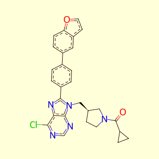 O=C(C1CC1)N1CC[C@@H](Cn2c(-c3ccc(-c4ccc5occc5c4)cc3)nc3c(Cl)ncnc32)C1